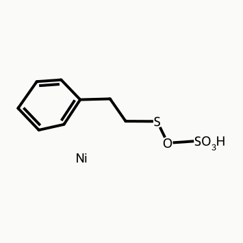 O=S(=O)(O)OSCCc1ccccc1.[Ni]